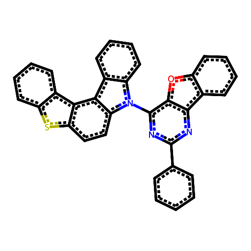 c1ccc(-c2nc(-n3c4ccccc4c4c5c(ccc43)sc3ccccc35)c3oc4ccccc4c3n2)cc1